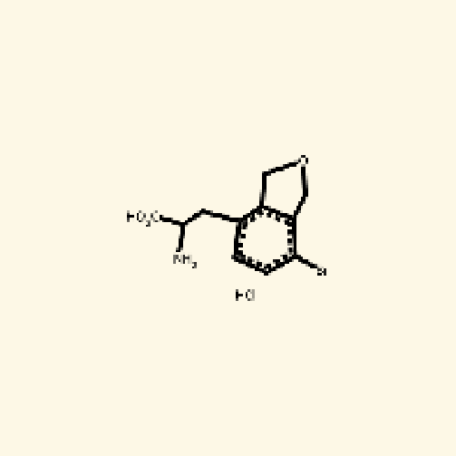 Cl.NC(Cc1ccc(Br)c2c1COC2)C(=O)O